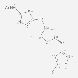 CC(=O)Nc1ncc(CN2C[C@@H](Cc3noc(C)n3)C[C@@H]2C)s1